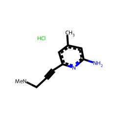 CNCC#Cc1cc(C)cc(N)n1.Cl